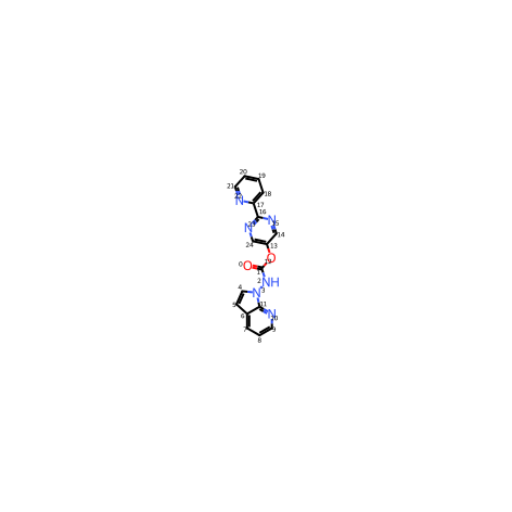 O=C(Nn1ccc2cccnc21)Oc1cnc(-c2ccccn2)nc1